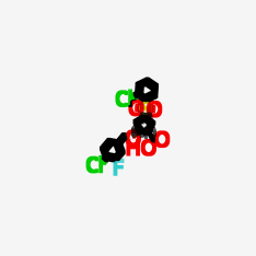 O=C(O)[C@@H]1C[C@@H](S(=O)(=O)c2ccccc2Cl)C[C@H]1OCc1ccc(Cl)c(F)c1